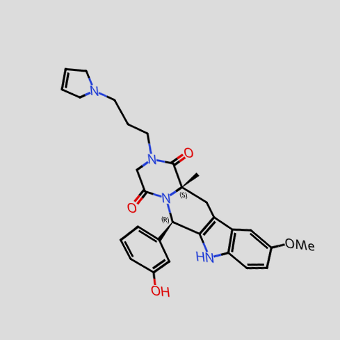 COc1ccc2[nH]c3c(c2c1)C[C@@]1(C)C(=O)N(CCCN2CC=CC2)CC(=O)N1[C@@H]3c1cccc(O)c1